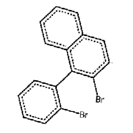 Brc1[c]cc2ccccc2c1-c1ccccc1Br